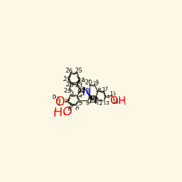 COc1cc2c(cc1O)C[C@H]1c3ccc(CO)cc3CCN1[C@@H]2c1ccccc1C